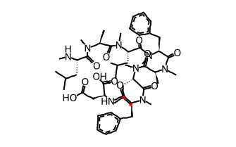 CN[C@@H](CC(C)C)C(=O)N(C)[C@@H](C)C(=O)N(C)[C@@H](CC(C)C)C(=O)N(C)[C@@H](Cc1ccccc1)C(=O)N(C)[C@@H](C)C(=O)N(C)[C@@H](CC(C)C)C(=O)N(C)[C@@H](Cc1ccccc1)C(=O)N[C@@H](CC(=O)O)C(=O)O